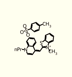 CCCN1C=C/C(=C/c2sc3ccccc3[n+]2C)c2ccccc21.Cc1ccc(S(=O)(=O)[O-])cc1